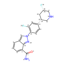 NC(=O)c1cccc2cn(-c3ccc([C@H]4CNC[C@@H](F)C4)cc3F)nc12